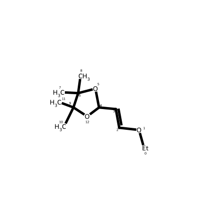 CCOC=CC1OC(C)(C)C(C)(C)O1